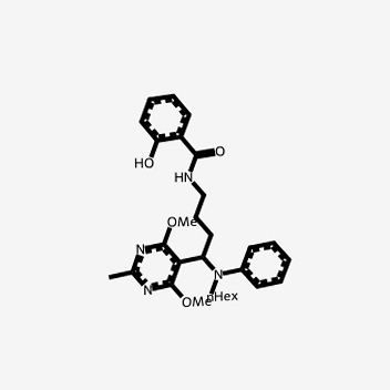 CCCCCCN(c1ccccc1)C(CCCNC(=O)c1ccccc1O)c1c(OC)nc(C)nc1OC